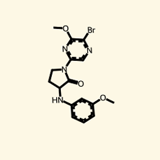 COc1cccc(NC2CCN(c3cnc(Br)c(OC)n3)C2=O)c1